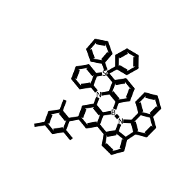 Cc1cc(C)c(-c2cc3c4c(c2)N2c5ccccc5[Si](c5ccccc5)(c5ccccc5)c5cccc(c52)B4n2c4c-3cccc4c3ccc4ccccc4c32)c(C)c1